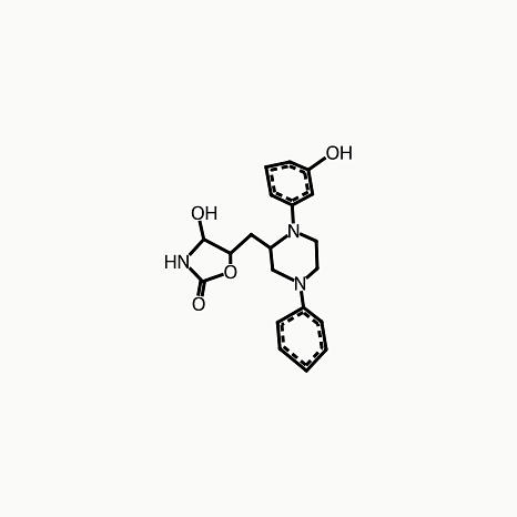 O=C1NC(O)C(CC2CN(c3ccccc3)CCN2c2cccc(O)c2)O1